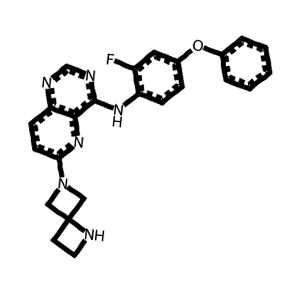 Fc1cc(Oc2ccccc2)ccc1Nc1ncnc2ccc(N3CC4(CCN4)C3)nc12